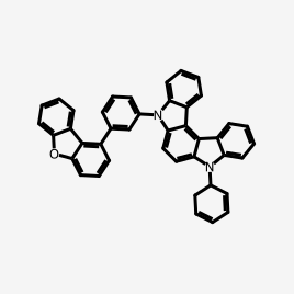 C1=CCC(n2c3ccccc3c3c4c5ccccc5n(-c5cccc(-c6cccc7oc8ccccc8c67)c5)c4ccc32)C=C1